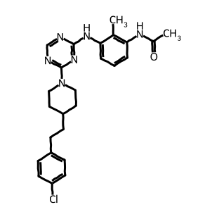 CC(=O)Nc1cccc(Nc2ncnc(N3CCC(CCc4ccc(Cl)cc4)CC3)n2)c1C